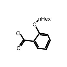 CCCCCCOc1ccccc1C(=O)Cl